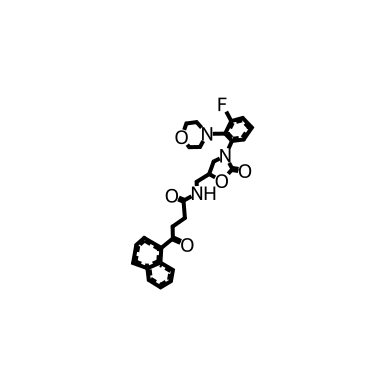 O=C(CCC(=O)c1cccc2ccccc12)NCC1CN(c2cccc(F)c2N2CCOCC2)C(=O)O1